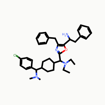 CCN(CC)C(c1nc(Cc2ccccc2)c(C(N)Cc2ccccc2)o1)C1CCC(C(c2ccc(Cl)cc2)N(C)C)CC1